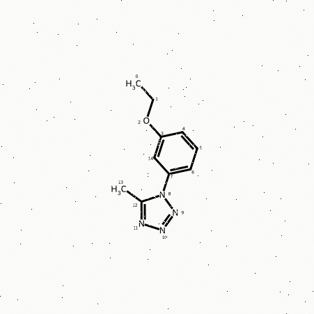 CCOc1cccc(-n2nnnc2C)c1